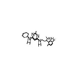 Cc1nc(NCCC2c3c(C)ccc(F)c3NC2C)cc(NC2CCCCC2)n1